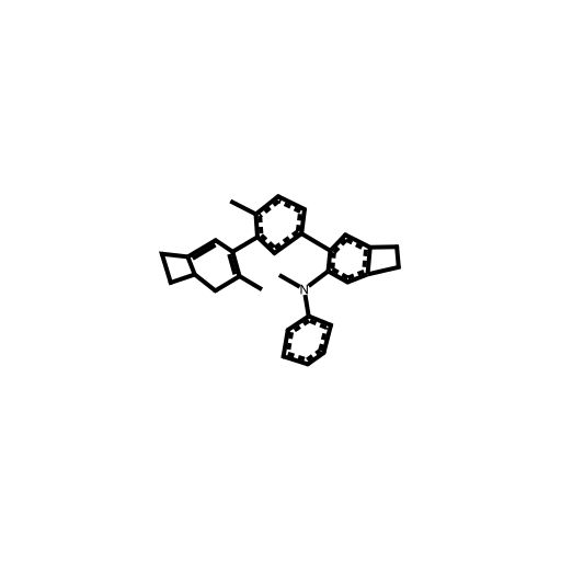 CC1=C(c2cc(-c3cc4c(cc3N(C)c3ccccc3)CC4)ccc2C)C=C2CCC2C1